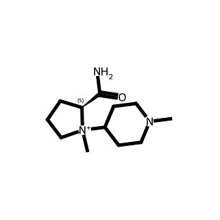 CN1CCC([N+]2(C)CCC[C@H]2C(N)=O)CC1